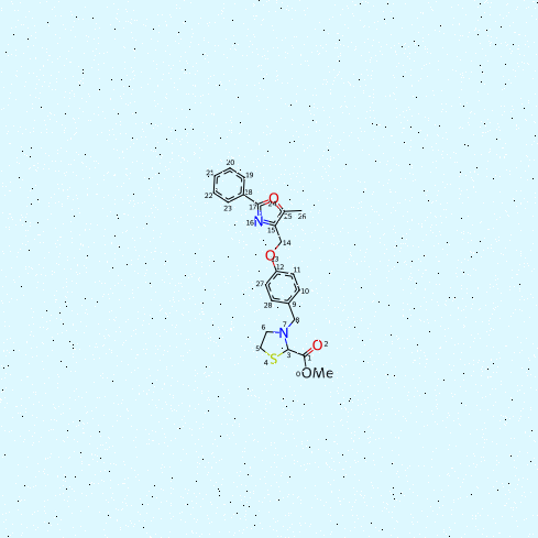 COC(=O)C1SCCN1Cc1ccc(OCc2nc(-c3ccccc3)oc2C)cc1